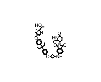 CCC(CC)(c1ccc(Oc2cnc(C(C)O)nc2)cc1)c1ccc(O[C@H]2C[C@H](Nc3ccc4c(c3)C(=O)N(C3CCC(=O)NC3=O)C4=O)C2)cc1